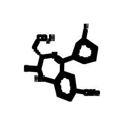 COc1ccc2c(c1)C(c1cccc(F)c1)=N[C@@H](CC(=O)O)C(=S)N2